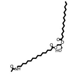 CCCCCCCCCCCCCCC(=O)O[C@@H](CO)COC(=O)CCCCCCCCCCCCCCNC(C)=O